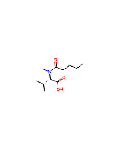 CCCCC(=O)N(C)[C@H](C(=O)O)C(C)C